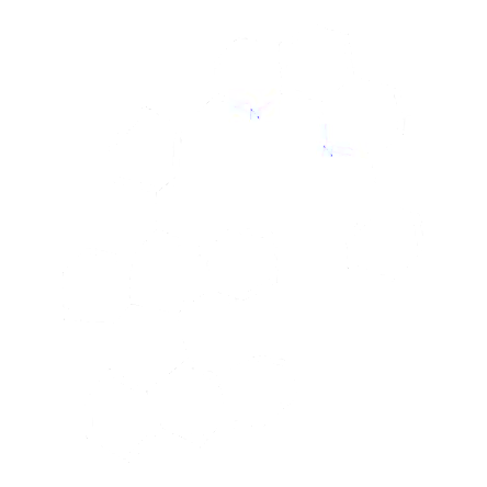 c1ccc(-c2ccc3ccc4ccc(-c5cccc(-c6c7ccccc7c(-c7c8ccccc8cc8ccccc78)c7ccccc67)c5)nc4c3n2)cc1